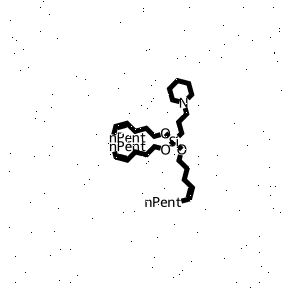 CCCCC/C=C\CCCO[Si](CCCN1CCCCC1)(OCCC/C=C\CCCCC)OCCC/C=C\CCCCC